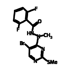 CSc1ncc(Br)c(N(C)NC(=O)c2c(F)cccc2F)n1